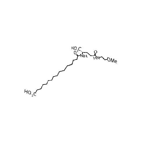 COCCNC(=O)CC[C@H](NC(=O)CCCCCCCCCCCCCCC(=O)O)C(=O)O